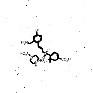 C[C@@]1(C(=O)O)CC(C(=O)O)=CC=C1S(=O)(=O)CC=Cc1ccc(Br)cc1CN.O=C(O)N1CCNCC1